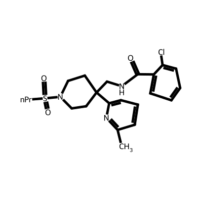 CCCS(=O)(=O)N1CCC(CNC(=O)c2ccccc2Cl)(c2cccc(C)n2)CC1